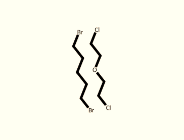 BrCCCCCBr.ClCCOCCCl